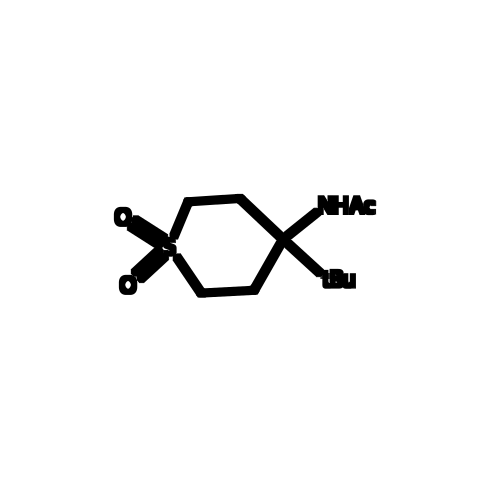 CC(=O)NC1(C(C)(C)C)CCS(=O)(=O)CC1